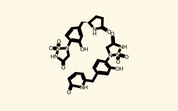 O=C1CC[C@@H](Cc2ccc(N3CC(=O)NS3(=O)=O)c(O)c2)N1.O=C1CN(c2ccc(Cc3cccc(=O)[nH]3)cc2O)S(=O)(=O)N1